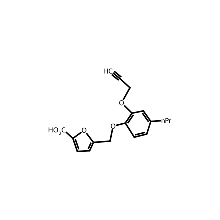 C#CCOc1cc(CCC)ccc1OCc1ccc(C(=O)O)o1